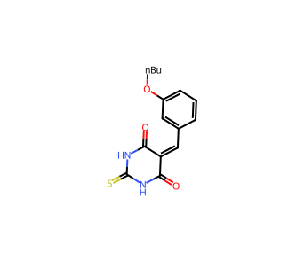 CCCCOc1cccc(C=C2C(=O)NC(=S)NC2=O)c1